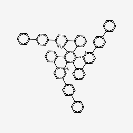 Bc1c(-c2ccccc2-c2ccc(-c3ccc(-c4ccccc4)cc3)nc2)c(B)c(-c2ccccc2-c2ccc(-c3ccc(-c4ccccc4)cc3)nc2)c(B)c1-c1ccccc1-c1ccc(-c2ccc(-c3ccccc3)cc2)nc1